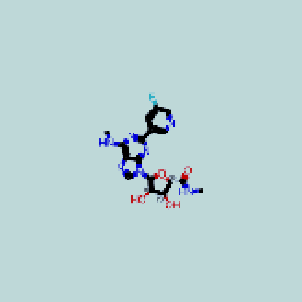 CNC(=O)[C@H]1OC(n2cnc3c(NC)nc(-c4cncc(F)c4)nc32)[C@H](O)[C@@H]1O